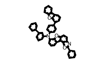 c1ccc(-c2cccc(N(c3ccc(-c4cccc5c4oc4ccccc45)cc3)c3cccc4c3oc3ccc5nc(-c6ccccc6)oc5c34)c2)cc1